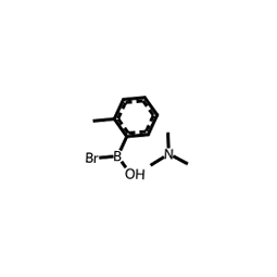 CN(C)C.Cc1ccccc1B(O)Br